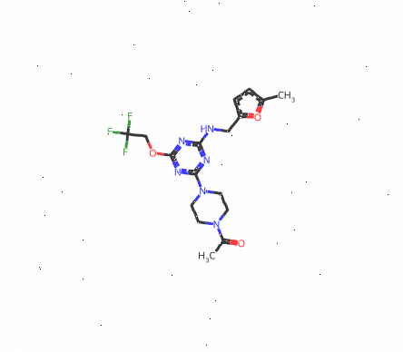 CC(=O)N1CCN(c2nc(NCc3ccc(C)o3)nc(OCC(F)(F)F)n2)CC1